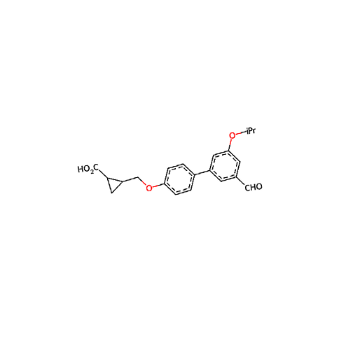 CC(C)Oc1cc(C=O)cc(-c2ccc(OCC3CC3C(=O)O)cc2)c1